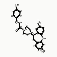 CC(C)c1ccc2c(c1)C(N1CCN(C(=O)COc3ccc(F)cc3)CC1)Cc1ccc(F)cc1S2